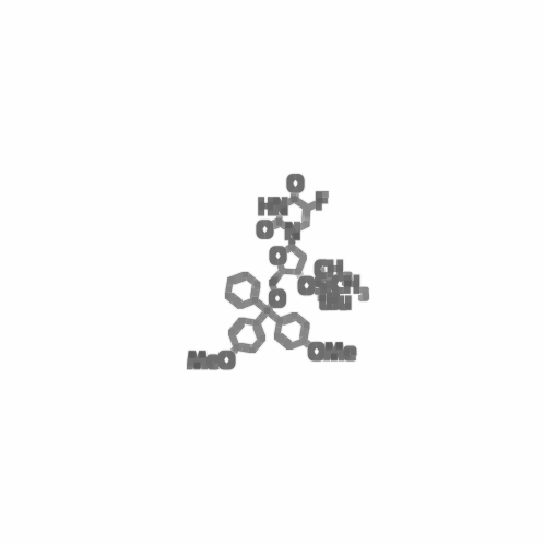 COc1ccc(C(OC[C@H]2O[C@@H](n3cc(F)c(=O)[nH]c3=O)C[C@@H]2O[Si](C)(C)C(C)(C)C)(c2ccccc2)c2ccc(OC)cc2)cc1